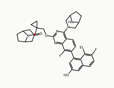 CCc1c(F)ccc2cc(O)cc(-c3ccc4c(N5CC6CCC(C5)N6)nc(OCC5(CN6C7CCC6CC(=O)C7)CC5)nc4c3F)c12